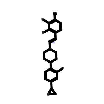 CCc1ccc(/C=C/C2CCC(c3ccc(C4CO4)cc3F)CC2)c(F)c1F